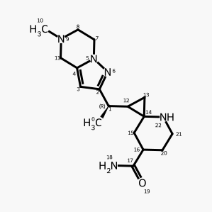 C[C@@H](c1cc2n(n1)CCN(C)C2)C1CC12CC(C(N)=O)CCN2